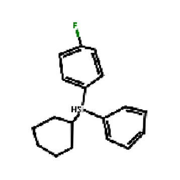 Fc1ccc([SiH](c2ccccc2)C2CCCCC2)cc1